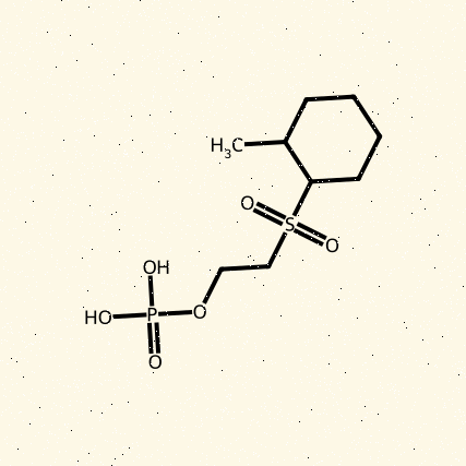 CC1CCCCC1S(=O)(=O)CCOP(=O)(O)O